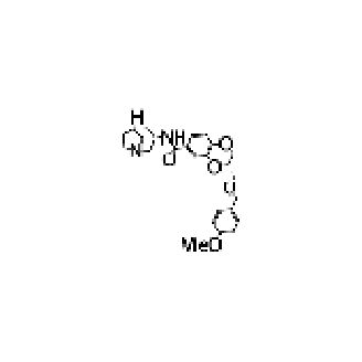 COc1ccc(COC[C@H]2COc3ccc(C(=O)N[C@@H]4C[C@@H]5CCN(C5)C4)cc3O2)cc1